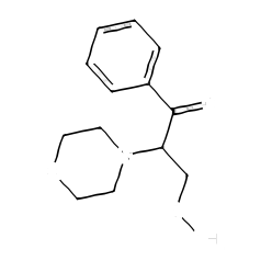 CSCC(C(=O)c1ccccc1)N1CCOCC1